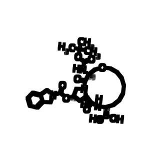 CC(C)(C)OC(=O)N[C@@H]1COCCCCCCC[C@H](B(O)O)NC(=O)[C@@H]2C[C@@H](OC(=O)N3Cc4ccccc4C3)CN2C1=O